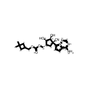 CC1(C)CC(COC(=O)OC[C@H]2C[C@@](C#N)(c3ccc4c(N)ncnn34)[C@H](O)[C@@H]2O)C1